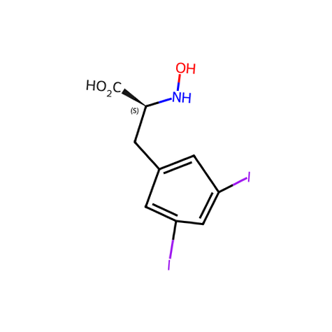 O=C(O)[C@H](Cc1cc(I)cc(I)c1)NO